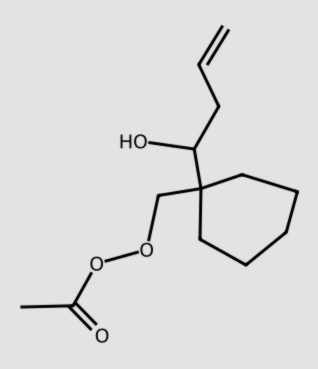 C=CCC(O)C1(COOC(C)=O)CCCCC1